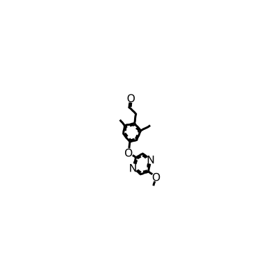 COc1cnc(Oc2cc(C)c(CC=O)c(C)c2)cn1